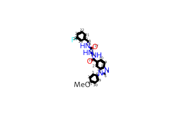 COc1ccc(-n2cnc3ccc(C(=O)NNC(=O)NCc4cccc(F)c4)cc32)cc1